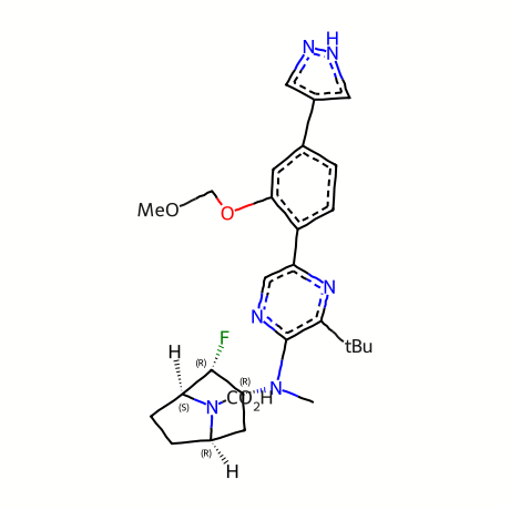 COCOc1cc(-c2cn[nH]c2)ccc1-c1cnc(N(C)[C@@H]2C[C@H]3CC[C@@H]([C@@H]2F)N3C(=O)O)c(C(C)(C)C)n1